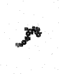 CCC(CNC(=O)/N=C1\SCCN1c1c(C)cccc1C)c1ccc(-c2ncn(-c3ccc(OC(F)(F)F)cc3)n2)cc1